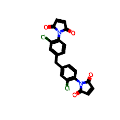 O=C1C=CC(=O)N1c1ccc(Cc2ccc(N3C(=O)C=CC3=O)c(Cl)c2)cc1Cl